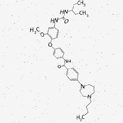 CCCCN1CCCN(c2ccc(C(=O)Nc3ccc(Oc4ccc(NC(=O)NC(CC)CC)cc4OC)cc3)cc2)CC1